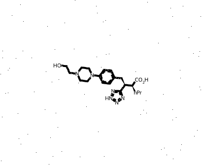 CCC[C@H](C(=O)O)[C@H](Cc1ccc(N2CCN(CCO)CC2)cc1)c1nn[nH]n1